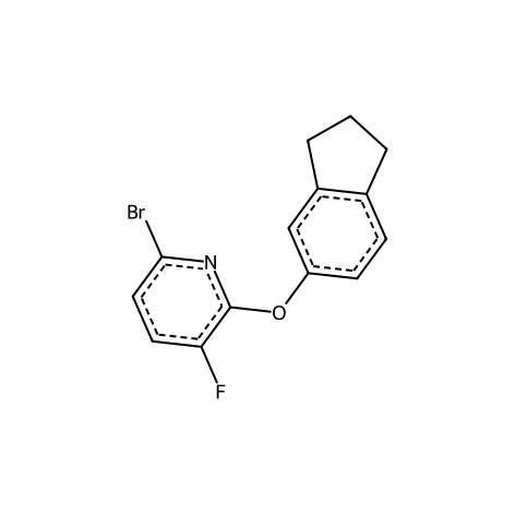 Fc1ccc(Br)nc1Oc1ccc2c(c1)CCC2